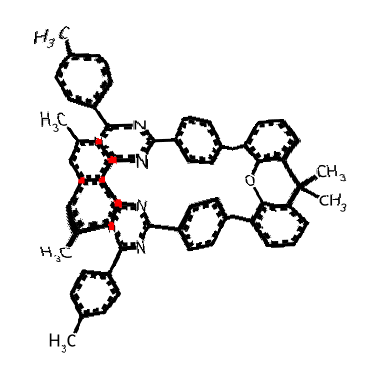 Cc1ccc(-c2nc(-c3ccc(C)cc3)nc(-c3ccc(-c4cccc5c4Oc4c(-c6ccc(-c7nc(-c8ccc(C)cc8)nc(-c8ccc(C)cc8)n7)cc6)cccc4C5(C)C)cc3)n2)cc1